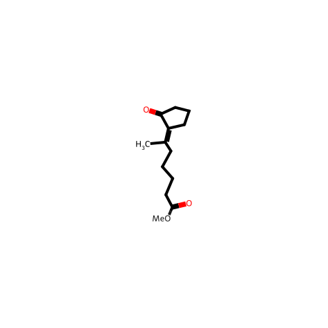 COC(=O)CCCCC(C)=C1CCCC1=O